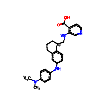 CN(C)c1ccc(Nc2ccc3c(c2)CCC[C@H]3CNc2cnccc2C(=O)O)cc1